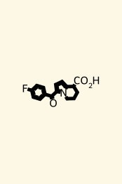 O=C(c1ccc(F)cc1)c1ccc2n1CCCC2C(=O)O